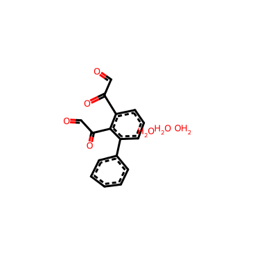 O.O.O.O=CC(=O)c1cccc(-c2ccccc2)c1C(=O)C=O